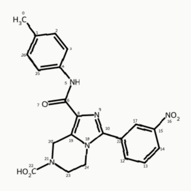 Cc1ccc(NC(=O)c2nc(-c3cccc([N+](=O)[O-])c3)n3c2CN(C(=O)O)CC3)cc1